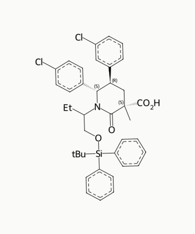 CCC(CO[Si](c1ccccc1)(c1ccccc1)C(C)(C)C)N1C(=O)[C@@](C)(C(=O)O)C[C@H](c2cccc(Cl)c2)[C@H]1c1ccc(Cl)cc1